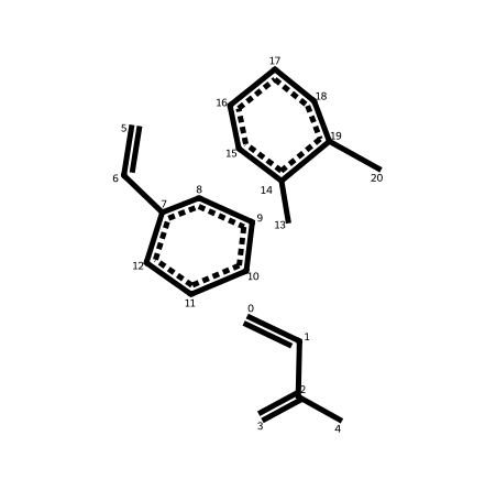 C=CC(=C)C.C=Cc1ccccc1.Cc1ccccc1C